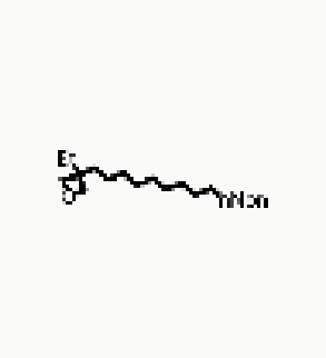 CCCCCCCCCCCCCCCCCCC1(CC)COC1